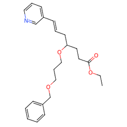 CCOC(=O)CCC(CC=Cc1cccnc1)OCCCOCc1ccccc1